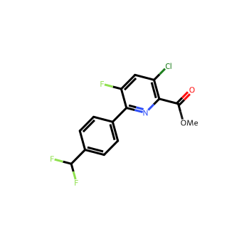 COC(=O)c1nc(-c2ccc(C(F)F)cc2)c(F)cc1Cl